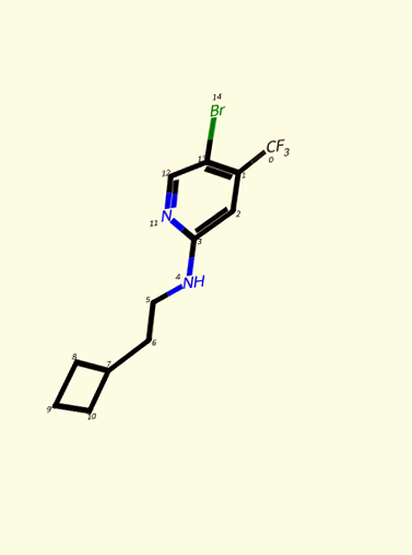 FC(F)(F)c1cc(NCCC2CCC2)ncc1Br